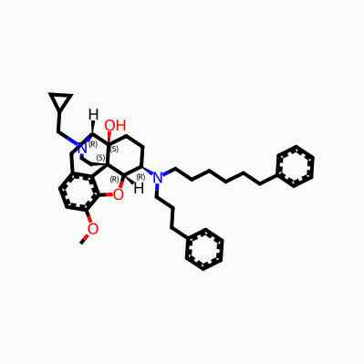 COc1ccc2c3c1O[C@H]1[C@H](N(CCCCCCc4ccccc4)CCCc4ccccc4)CC[C@@]4(O)[C@@H](C2)N(CC2CC2)CC[C@]314